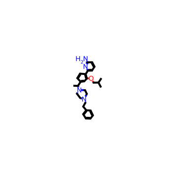 CC(C)COc1cc(C(C)N2CCN(CCc3ccccc3)CC2)ccc1-c1cccc(N)n1